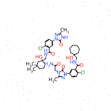 Cc1nn(-c2ccc(Cl)c(C(=O)NCC3(O)CCCC(C)(C)C3)c2)c(=O)[nH]1.Cc1nn(-c2ccc(Cl)c(C(=O)NCC3(O)CCCCCC3)c2)c(=O)n1CC(N)=O